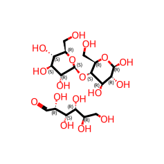 O=C[C@H](O)[C@@H](O)[C@H](O)[C@H](O)CO.OC[C@H]1O[C@@H](O[C@H]2[C@H](O)[C@@H](O)[C@H](O)O[C@@H]2CO)[C@H](O)[C@@H](O)[C@@H]1O